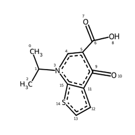 CC(C)n1cc(C(=O)O)c(=O)c2ccsc21